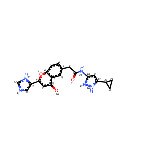 O=C(Cc1ccc2oc(-c3cnc[nH]3)cc(=O)c2c1)Nc1cc(C2CC2)[nH]n1